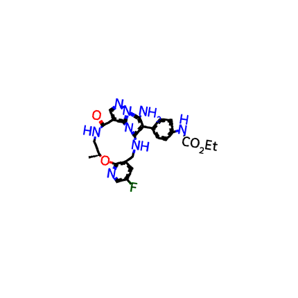 CCOC(=O)Nc1ccc(-c2c3nc4c(cnn4c2N)C(=O)NC[C@H](C)Oc2ncc(F)cc2CN3)cc1